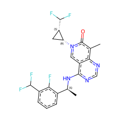 Cc1c(=O)n([C@@H]2C[C@@H]2C(F)F)cc2c(N[C@@H](C)c3cccc(C(F)F)c3F)ncnc12